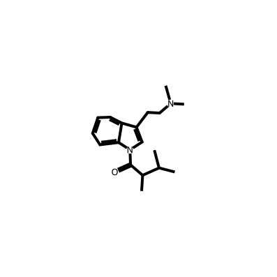 CC(C)C(C)C(=O)n1cc(CCN(C)C)c2ccccc21